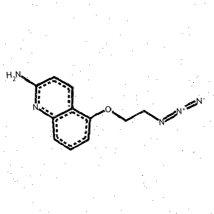 [N-]=[N+]=NCCOc1cccc2nc(N)ccc12